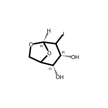 O[C@@H]1C2CO[C@H](O2)C(I)[C@@H]1O